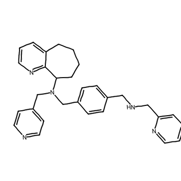 c1ccc(CNCc2ccc(CN(Cc3ccncc3)C3CCCCc4cccnc43)cc2)nc1